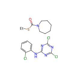 CCSC(=O)N1CCCCCC1.Clc1nc(Cl)nc(Nc2ccccc2Cl)n1